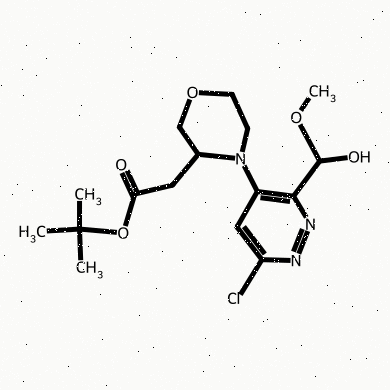 COC(O)c1nnc(Cl)cc1N1CCOCC1CC(=O)OC(C)(C)C